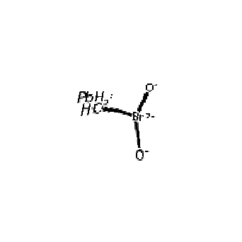 [O-][Br+2]([O-])O.[PbH2]